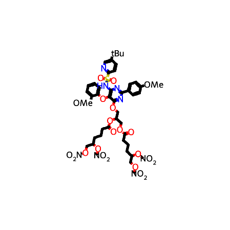 COc1ccc(-c2nc(NS(=O)(=O)c3ccc(C(C)(C)C)cn3)c(Oc3ccccc3OC)c(OCC(COC(=O)CCCC(CO[N+](=O)[O-])O[N+](=O)[O-])OC(=O)CCCC(CO[N+](=O)[O-])O[N+](=O)[O-])n2)cc1